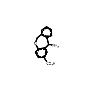 NC1c2ccccc2COc2ccc(C(=O)O)cc21